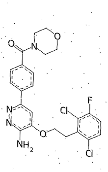 Nc1nnc(-c2ccc(C(=O)N3CCOCC3)cc2)cc1OCCc1c(Cl)ccc(F)c1Cl